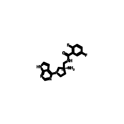 N[C@]1(CNC(=O)c2cc(F)ccc2F)CCN(c2ncnc3[nH]ccc23)C1